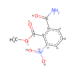 COC(=O)c1c(C(N)=O)cccc1[N+](=O)[O-]